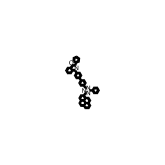 C1=CC2=CCc3ccc(-c4nc(-c5ccccc5)nc(-c5ccc(-c6ccc(-c7nc8c9ccccc9oc8c8ccccc78)cc6)cc5)n4)c4c3C2C(=C1)C=C4